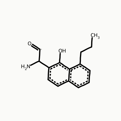 CCCc1cccc2ccc(C(N)[C]=O)c(O)c12